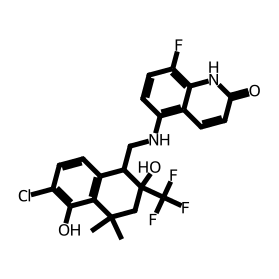 CC1(C)CC(O)(C(F)(F)F)C(CNc2ccc(F)c3[nH]c(=O)ccc23)c2ccc(Cl)c(O)c21